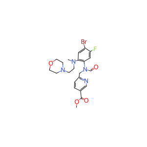 COC(=O)c1ccc(CN(C=O)c2cc(F)c(Br)cc2N(C)CCN2CCOCC2)nc1